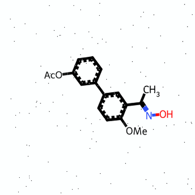 COc1ccc(-c2cccc(OC(C)=O)c2)cc1C(C)=NO